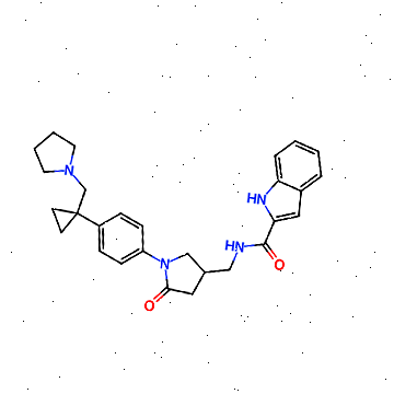 O=C(NCC1CC(=O)N(c2ccc(C3(CN4CCCC4)CC3)cc2)C1)c1cc2ccccc2[nH]1